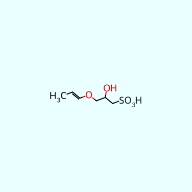 CC=COCC(O)CS(=O)(=O)O